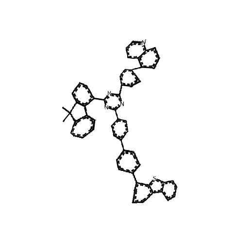 CC1(C)c2ccccc2-c2c(-c3nc(-c4ccc(-c5ccc(-c6cccc7c6sc6ccccc67)cc5)cc4)nc(-c4ccc(-c5cccc6ncccc56)cc4)n3)cccc21